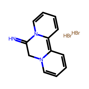 Br.Br.N=C1CN2C=CC=CC2=C2C=CC=CN12